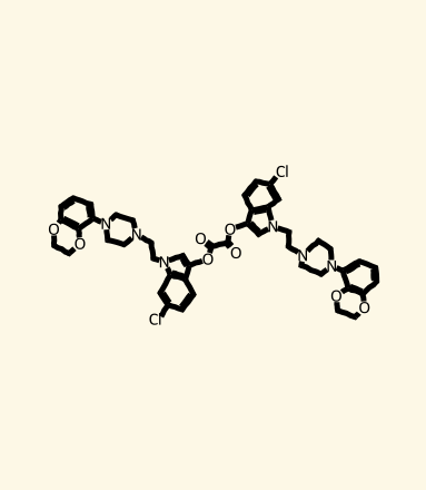 O=C(Oc1cn(CCN2CCN(c3cccc4c3OCCO4)CC2)c2cc(Cl)ccc12)C(=O)Oc1cn(CCN2CCN(c3cccc4c3OCCO4)CC2)c2cc(Cl)ccc12